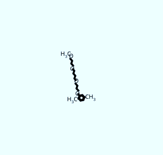 COCCCCOCCCCOCCCCOc1cc(C)ccc1C